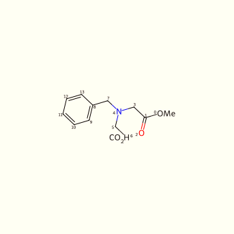 COC(=O)CN(CC(=O)O)Cc1ccccc1